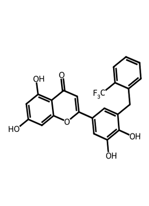 O=c1cc(-c2cc(O)c(O)c(Cc3ccccc3C(F)(F)F)c2)oc2cc(O)cc(O)c12